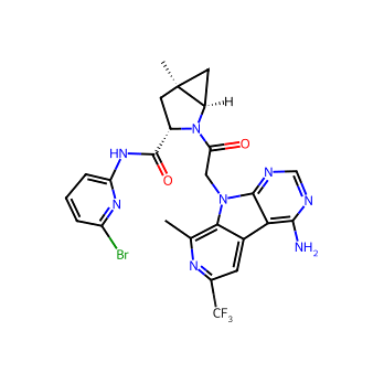 Cc1nc(C(F)(F)F)cc2c3c(N)ncnc3n(CC(=O)N3[C@H](C(=O)Nc4cccc(Br)n4)C[C@@]4(C)C[C@@H]34)c12